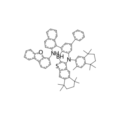 Cc1cc2c(cc1N1c3cc(-c4ccccc4)cc(-c4c(Nc5cccc6c5oc5ccccc56)ccc5ccccc45)c3Bc3sc4cc5c(cc4c31)C(C)(C)CCC5(C)C)C(C)(C)CCC2(C)C